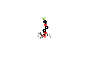 COC(=O)C(C)(C)Oc1cccc(-c2cccc(OCc3ccc(C(F)(F)F)cc3)c2)c1